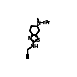 C#CCNc1nc2c(s1)CC(N(C)CCC)CC2